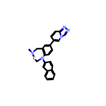 CN1CCN(c2ccc3ccccc3c2)c2ccc(-c3ccc4nncn4c3)cc2C1